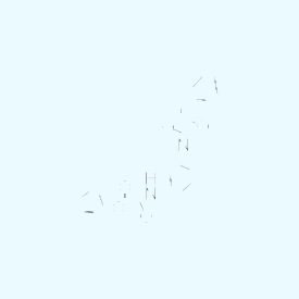 O=C(NCc1cccc(CNC(=O)C(=O)Oc2ccccc2)c1)C(=O)Oc1ccccc1